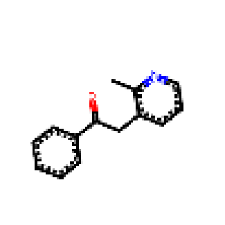 Cc1ncccc1CC(=O)c1ccccc1